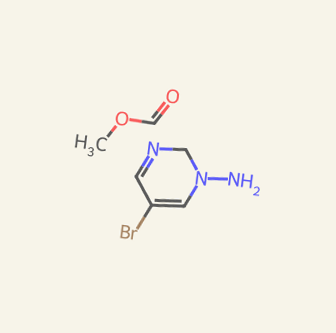 COC=O.NN1C=C(Br)C=NC1